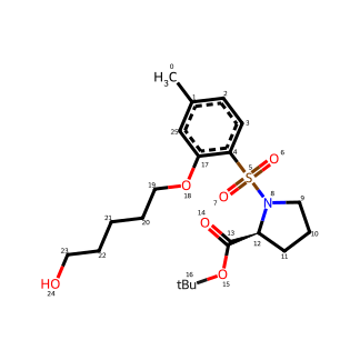 Cc1ccc(S(=O)(=O)N2CCC[C@H]2C(=O)OC(C)(C)C)c(OCCCCCO)c1